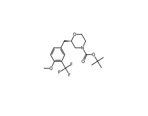 COc1ccc(C[C@@H]2CN(C(=O)OC(C)(C)C)CCO2)cc1C(F)(F)F